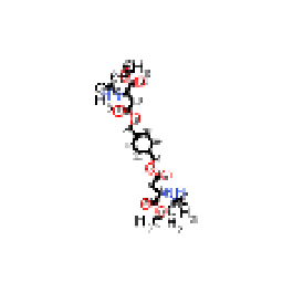 C=C(C)NC(CC(=O)OCC1CCC(COC(=O)CC(NC(=C)C)C(=O)OC)CC1)C(=O)OC